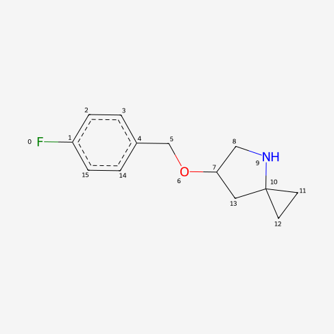 Fc1ccc(COC2CNC3(CC3)C2)cc1